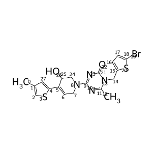 Cc1csc(C2=CCN(c3nc(C)n(Cc4ccc(Br)s4)c(=O)n3)C[C@@H]2O)c1